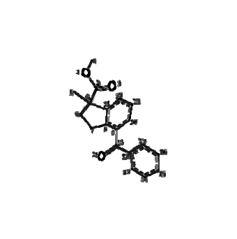 COC(=O)C1(C)CCc2c(C(=O)c3ccccc3)cccc21